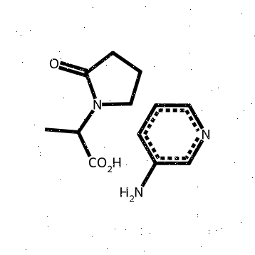 CC(C(=O)O)N1CCCC1=O.Nc1cccnc1